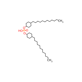 CCCCCCCCCCCCC1CCC(OP(=O)(O)OC2CCC(CCCCCCCCCCCC)CC2)CC1